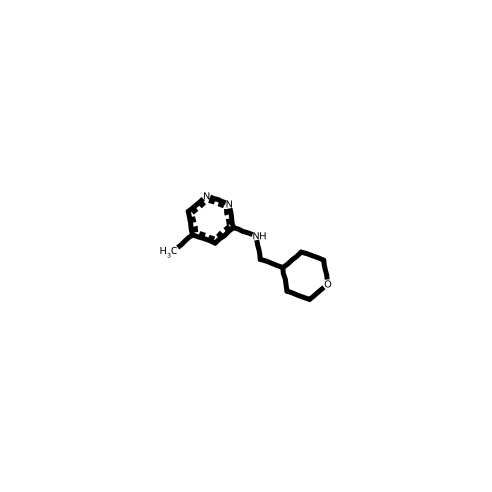 Cc1cnnc(NCC2CCOCC2)c1